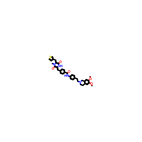 COc1cc2c(cc1OC)CN(CCc1ccc(NC(=O)c3ccc(C=c4[nH]c(=O)c(=Cc5ccsc5)n(C)c4=O)cc3)cc1)CC2